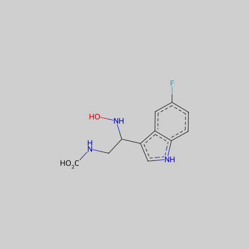 O=C(O)NCC(NO)c1c[nH]c2ccc(F)cc12